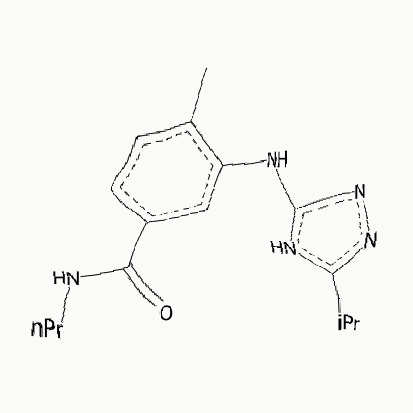 CCCNC(=O)c1ccc(C)c(Nc2nnc(C(C)C)[nH]2)c1